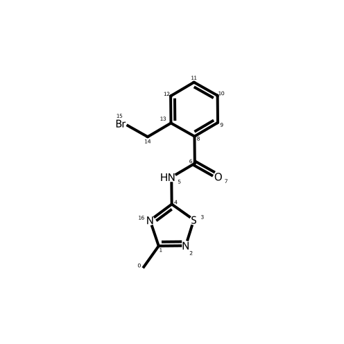 Cc1nsc(NC(=O)c2ccccc2CBr)n1